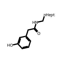 CCCCCCCCNC(=O)Cc1cccc(O)c1